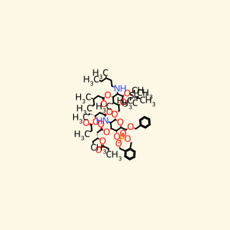 CCC(=O)O[C@H](CC)CC(=O)NC1[C@H](OCC2OC(O[Si](C)(C)C(C)(C)C)C(NCC[C@H](C)CC)[C@@H](OC(=O)C[C@H](C)CC)[C@@H]2C)OC(COCc2ccccc2)[C@@H](OP2(=O)OCc3ccccc3CO2)[C@@H]1OC(=O)C[C@@H](CC)OC(=O)CC